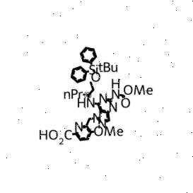 CCC[C@@H](CCO[Si](c1ccccc1)(c1ccccc1)C(C)(C)C)Nc1nc(NC(=O)OC)nc2cnn(Cc3nc(C(=O)O)ccc3OC)c12